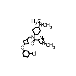 CN1C=NC(C(=O)N(CC2CC(Oc3cccc(Cl)c3)C2)C2CCC(N(C)C)CC2)C1